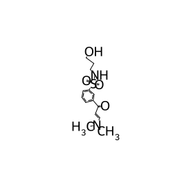 CN(C)/C=C/C(=O)c1cccc(S(=O)(=O)NCCCO)c1